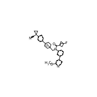 COc1cc(-c2cccc(N(CC34CCC(c5ccc(C6(C#N)CC6)cc5)(CC3)OC4)C(=O)C34CC(F)(C3)C4)c2)ccn1